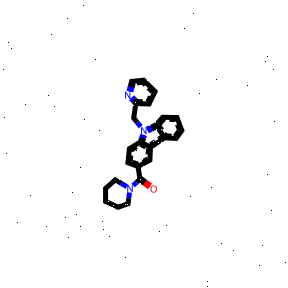 O=C(c1ccc2c(c1)c1ccccc1n2Cc1ccccn1)N1CCCCC1